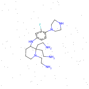 NCCN1CCCC(Nc2ccc(N3CCNCC3)c(F)c2)C1(CCN)CCN